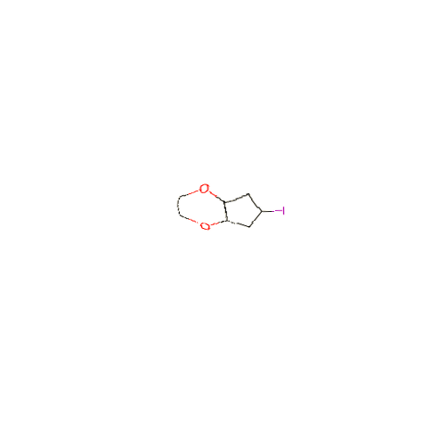 IC1CC2OCCOC2C1